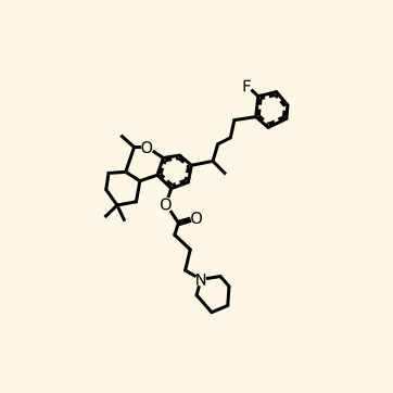 CC(CCCc1ccccc1F)c1cc(OC(=O)CCCN2CCCCC2)c2c(c1)OC(C)C1CCC(C)(C)CC21